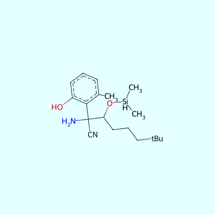 Cc1cccc(O)c1C(N)(C#N)C(CCCC(C)(C)C)O[SiH](C)C